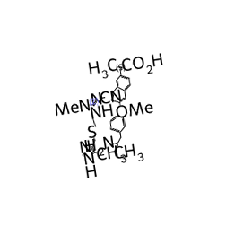 CC(N)Cc1ccccc1.CN/C(=N/C#N)NCCSCc1nc[nH]c1C.COc1ccc2cc([C@H](C)C(=O)O)ccc2c1